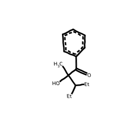 CCC(CC)C(C)(O)C(=O)c1ccccc1